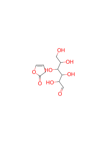 O=C1CC=CO1.O=CC(O)C(O)C(O)C(O)CO